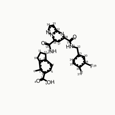 Cc1c(C(=O)O)ccc2c1CC[C@@H]2NC(=O)c1cc(C(=O)NCc2ccc(F)c(F)c2)nc2ccnn12